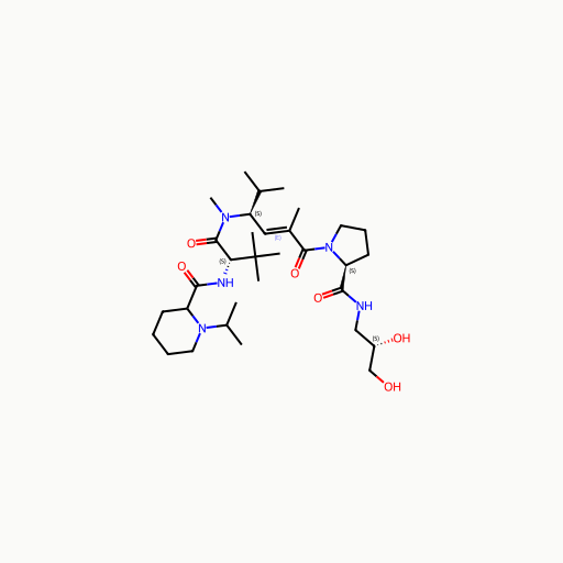 C/C(=C\[C@H](C(C)C)N(C)C(=O)[C@@H](NC(=O)C1CCCCN1C(C)C)C(C)(C)C)C(=O)N1CCC[C@H]1C(=O)NC[C@H](O)CO